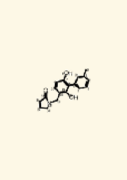 Cc1cccc(-c2c(O)ccc(CN3CCCC3=O)c2O)c1